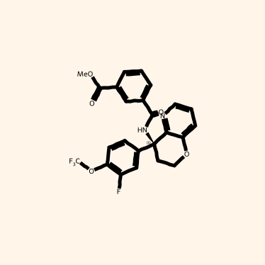 COC(=O)c1cccc(C(=O)N[C@]2(c3ccc(OC(F)(F)F)c(F)c3)CCOc3cccnc32)c1